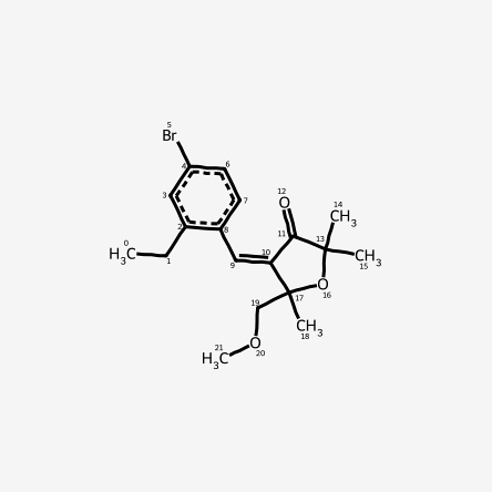 CCc1cc(Br)ccc1C=C1C(=O)C(C)(C)OC1(C)COC